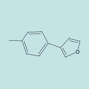 Cc1ccc(-c2[c]coc2)cc1